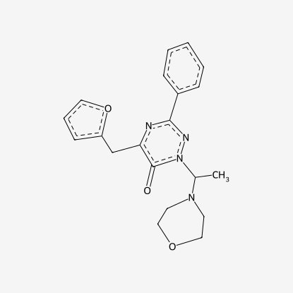 CC(N1CCOCC1)n1nc(-c2ccccc2)nc(Cc2ccco2)c1=O